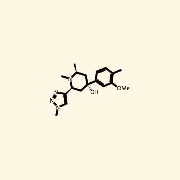 COc1cc([C@]2(O)C[C@H](C)N(C)[C@H](c3cn(C)nn3)C2)ccc1C